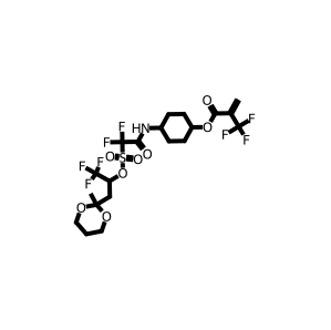 C=C(C(=O)OC1CCC(NC(=O)C(F)(F)S(=O)(=O)OC(CC2(C)OCCCO2)C(F)(F)F)CC1)C(F)(F)F